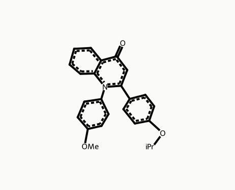 COc1ccc(-n2c(-c3ccc(OC(C)C)cc3)cc(=O)c3ccccc32)cc1